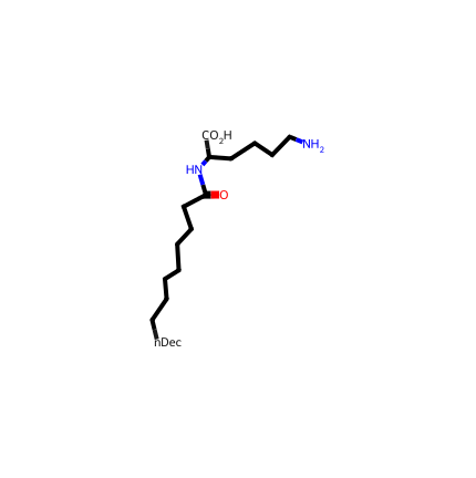 CCCCCCCCCCCCCCCCCC(=O)NC(CCCCN)C(=O)O